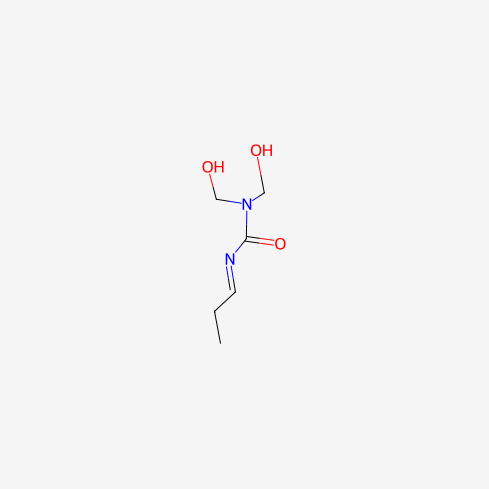 CCC=NC(=O)N(CO)CO